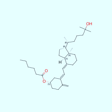 C=C1CC[C@H](OC(=O)CCCCC)CC1=CC=C1CCC[C@@]2(C)[C@@H]1CC[C@@H]2[C@H](C)CCCC(C)(C)O